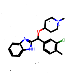 Cc1ccc(C(OC2CCN(C)CC2)c2nc3ccccc3[nH]2)cc1Cl